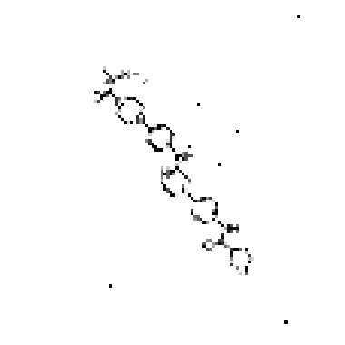 C[C@@H](N)C(=O)N1CCN(c2ccc(Nc3nccc(-c4ccc(NC(=O)C5CCOC5)cc4)n3)cc2)CC1